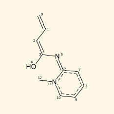 C=C/C=C(O)\N=c1\ccccn1C